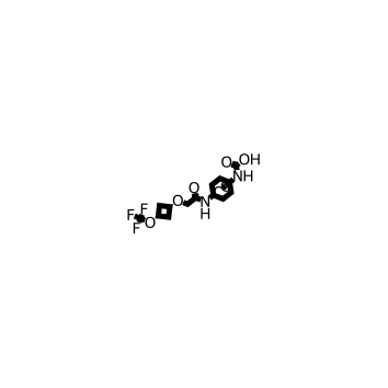 O=C(O)NC12CCC(NC(=O)CO[C@H]3C[C@@H](OC(F)(F)F)C3)(CC1)CC2